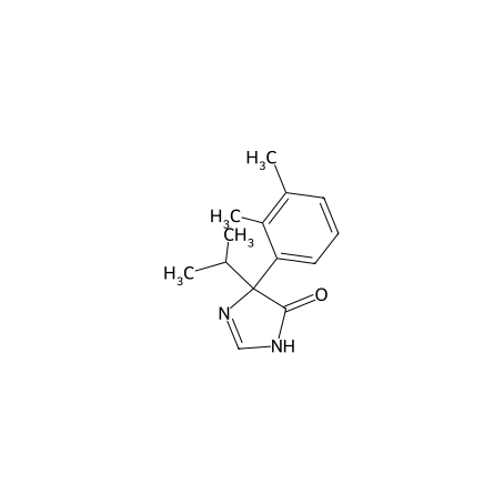 Cc1cccc(C2(C(C)C)N=CNC2=O)c1C